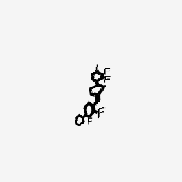 FC1=C(F)C(C2CCC(=CC3CCC(C4CCCCC4)C(F)C3F)CC2)CCC1I